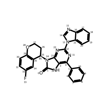 O=c1[nH]c2c(-c3ccccc3)nc(-n3cnc4ccccc43)nc2n1[C@@H]1CCOc2ccc(F)cc21